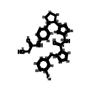 O=C(CO)Nc1ccc(N2CCCC2c2csc(NC(=O)c3cccn3Cc3ccnc(F)c3)n2)cc1